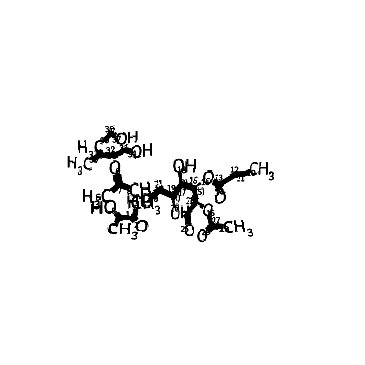 CC(=O)C(C)O.CC(C)=O.CCCC(=O)O[C@@H]([C@H](O)[C@H](O)CO)[C@H](C=O)OC(C)=O.CCCCO.CCO